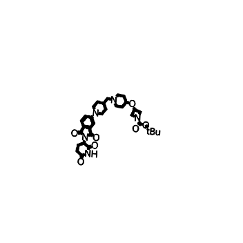 CC(C)(C)OC(=O)N1CC(OC2CCN(CC3CCN(c4ccc5c(c4)C(=O)N(C4CCC(=O)NC4=O)C5=O)CC3)CC2)C1